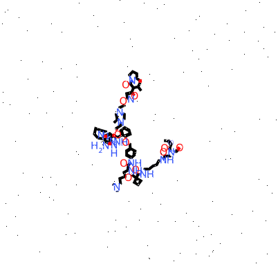 C/C=C\C(=O)N(C=O)CC(=O)NCCCCCNC(=O)C1(C(=O)NC(CCCCN(C)C)C(=O)Nc2ccc(COc3ccccc3C3=CC(N4CC5CCC(C4)N5c4ccnc(OCCN5CCN(CCOc6cc(C(C(=O)N7CCCC7C)C(C)C)on6)CC5C)c4)=C(N)NN3)cc2)CCC1